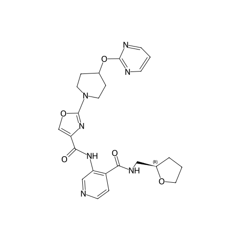 O=C(Nc1cnccc1C(=O)NC[C@H]1CCCO1)c1coc(N2CCC(Oc3ncccn3)CC2)n1